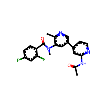 CC(=O)Nc1cc(-c2cnc(C)c(N(C)C(=O)c3ccc(F)cc3F)c2)ccn1